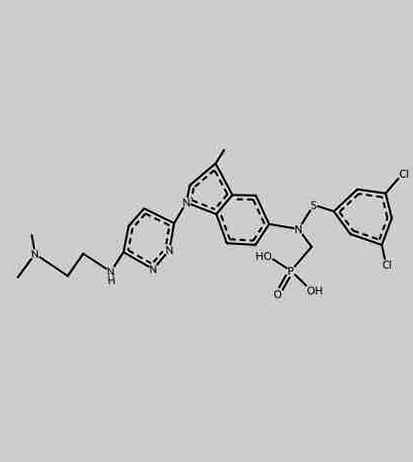 Cc1cn(-c2ccc(NCCN(C)C)nn2)c2ccc(N(CP(=O)(O)O)Sc3cc(Cl)cc(Cl)c3)cc12